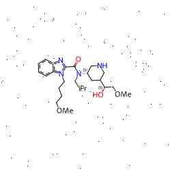 COCCCCn1c(C(=O)N(CC(C)C)[C@@H]2CNCC([C@H](O)COC)C2)nc2ccccc21